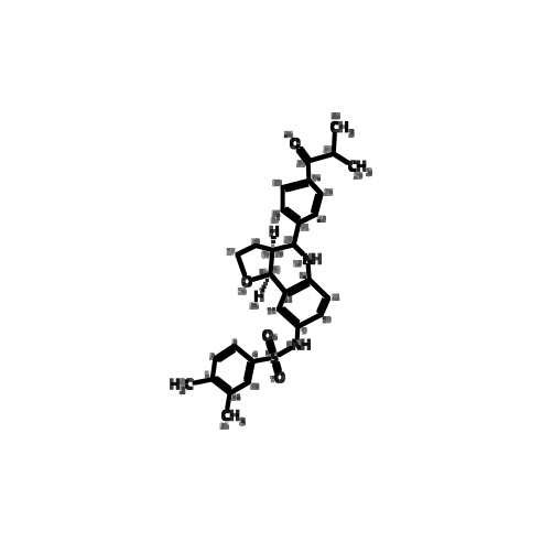 Cc1ccc(S(=O)(=O)Nc2ccc3c(c2)[C@H]2OCC[C@H]2C(c2ccc(C(=O)C(C)C)cc2)N3)cc1C